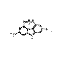 Nc1cc(N)c2c(c1)[nH]c1cc(N)cc(N)c12